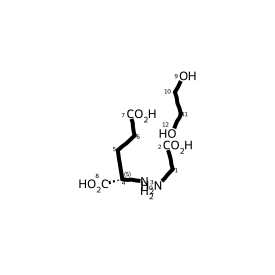 NCC(=O)O.N[C@@H](CCC(=O)O)C(=O)O.OCCO